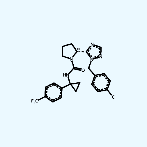 O=C(NC1(c2ccc(C(F)(F)F)cc2)CC1)N1CCC[C@@H]1c1ncnn1Cc1ccc(Cl)cc1